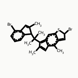 CC1=Cc2c(C)c3c(cc2=C1C(C)(C)C1C(C)=Cc2c(Br)cccc21)SC(Br)C=3